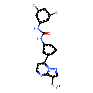 CCOC(=O)c1cnn2c(-c3cccc(NC(=O)Nc4cc(Cl)cc(Cl)c4)c3)ccnc12